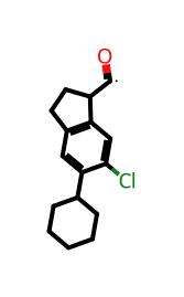 O=[C]C1CCc2cc(C3CCCCC3)c(Cl)cc21